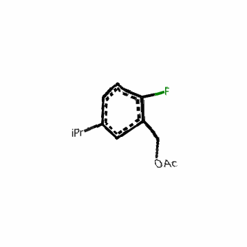 CC(=O)OCc1cc(C(C)C)ccc1F